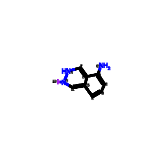 Nc1cccc2c1=CNN(I)C=2